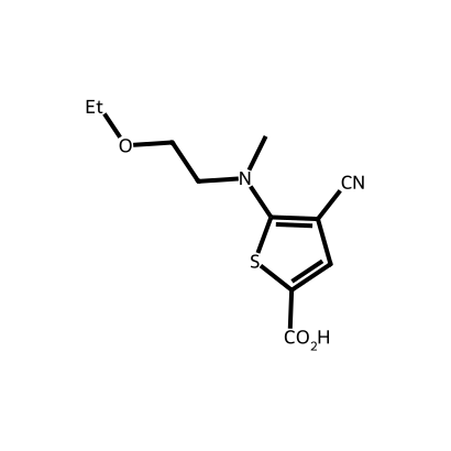 CCOCCN(C)c1sc(C(=O)O)cc1C#N